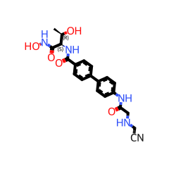 C[C@@H](O)[C@H](NC(=O)c1ccc(-c2ccc(NC(=O)CNCC#N)cc2)cc1)C(=O)NO